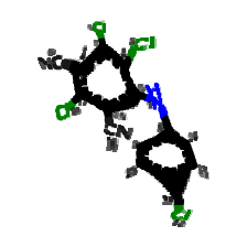 N#Cc1c(Cl)c(Cl)c(Nc2ccc(Cl)cc2)c(C#N)c1Cl